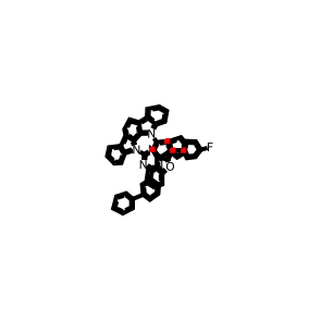 Fc1ccc(-c2cc(-n3c4ccccc4c4ccc5c6ccccc6n(-c6nc(-c7ccccc7)nc(-c7cccc(-c8ccccc8)c7)n6)c5c43)cc3c2oc2ccccc23)cc1